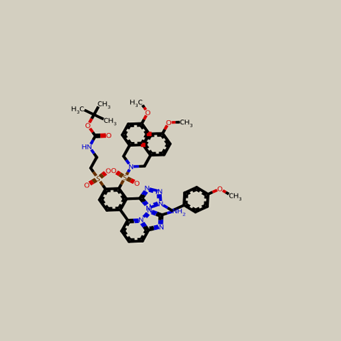 COc1ccc(CN(Cc2ccc(OC)cc2)S(=O)(=O)c2c(S(=O)(=O)CCNC(=O)OC(C)(C)C)ccc(-c3cccc4nc(N)nn34)c2-c2nnn(Cc3ccc(OC)cc3)n2)cc1